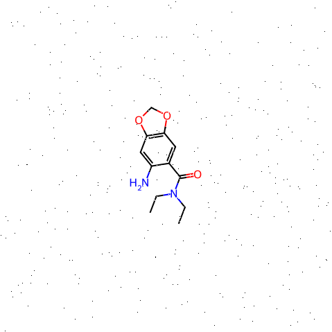 CCN(CC)C(=O)c1cc2c(cc1N)OCO2